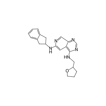 c1ccc2c(c1)CC(Nc1cc3c(NCC4CCCO4)ncnc3cn1)C2